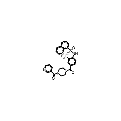 O=C(c1cccnc1)N1CCN(C(=O)c2ccc(NS(=O)(=O)c3cccc4cccnc34)c(C(F)(F)F)c2)CC1